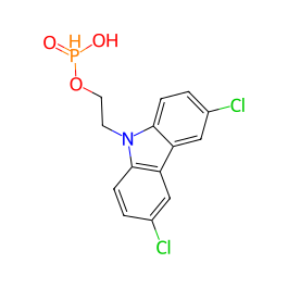 O=[PH](O)OCCn1c2ccc(Cl)cc2c2cc(Cl)ccc21